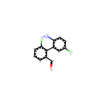 Nc1ccc(Cl)cc1-c1c(Cl)cccc1C=O